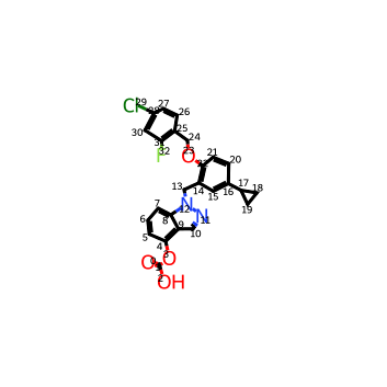 O=C(O)Oc1cccc2c1cnn2Cc1cc(C2CC2)ccc1OCc1ccc(Cl)cc1F